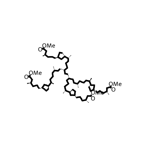 COC(=O)C[C@H](C)CCC[C@H]1CC[C@H]([C@H](C)CCC[C@H](C)CC[C@H](CCC[C@@H](C)[C@H]2CC[C@H](CCC[C@@H](C)CC(=O)OC)C2)CC[C@@H](CCC[C@@H](C)[C@H]2CC[C@H](CCC[C@@H](C)CC(=O)OC)C2)CC[C@@H](C)CCC[C@@H](C)[C@H]2CC[C@H](CCC[C@@H](C)CC(=O)OC)C2)C1